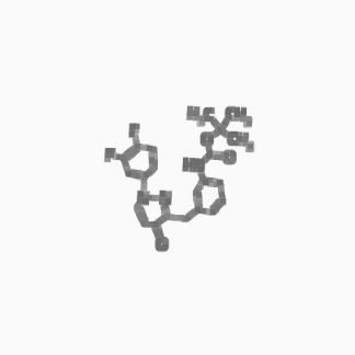 CC(C)(C)OC(=O)Nc1cccc(Cc2nn(-c3ccc(F)c(F)c3)ccc2=O)c1